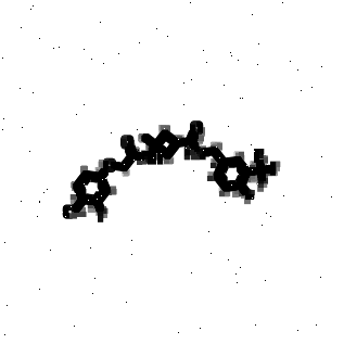 CC1(NC(=O)COc2ccc(Cl)c(F)c2)CC(C(=O)NCc2ccc(F)c(C(F)(F)F)c2)C1